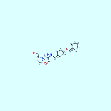 OCC(CN1CCCC1CO)NCc1ccc(OCc2ccccc2)cc1